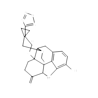 O=C1CCC2(OCCc3nn[nH]n3)[C@H]3Cc4ccc(O)c5c4[C@@]2(CCN3CC2CC2)[C@H]1O5